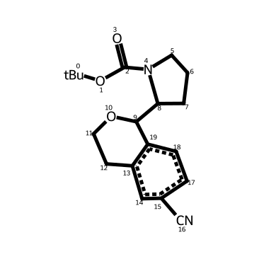 CC(C)(C)OC(=O)N1CCCC1C1OCCc2cc(C#N)ccc21